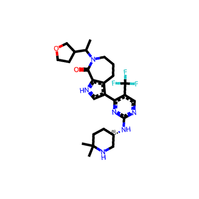 CC(C1CCOC1)N1CCCc2c(-c3nc(N[C@H]4CCC(C)(C)NC4)ncc3C(F)(F)F)c[nH]c2C1=O